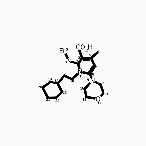 CCSC1C(C(=O)O)=C(C)C=C(N2CCOCC2)N1CCC1CCCCC1